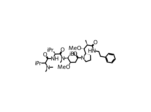 CC[C@H](C)[C@@H]([C@@H](CC(=O)N1CCC[C@H]1[C@H](OC)[C@@H](C)C(=O)NCCc1ccccc1)OC)N(C)C(=O)[C@@H](NC(=O)C(C(C)C)N(C)C)C(C)C